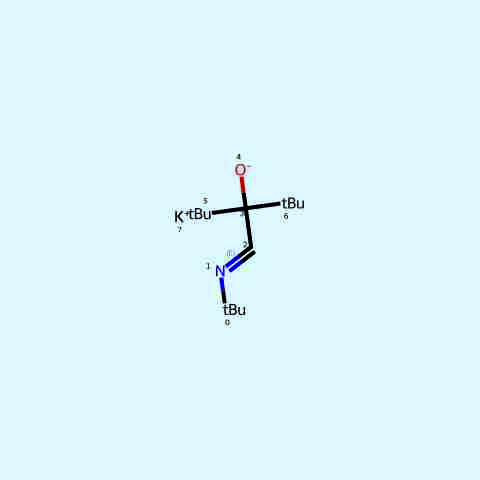 CC(C)(C)/N=C/C([O-])(C(C)(C)C)C(C)(C)C.[K+]